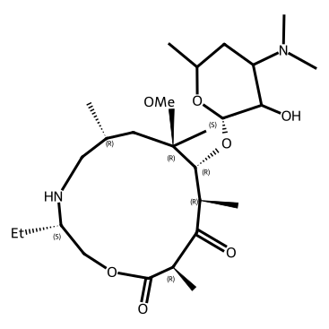 CC[C@H]1COC(=O)[C@H](C)C(=O)[C@H](C)[C@@H](O[C@@H]2OC(C)CC(N(C)C)C2O)[C@](C)(OC)C[C@@H](C)CN1